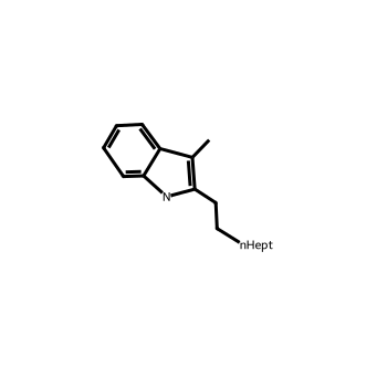 CCCCCCCCCC1=C(C)c2ccccc2[N]1